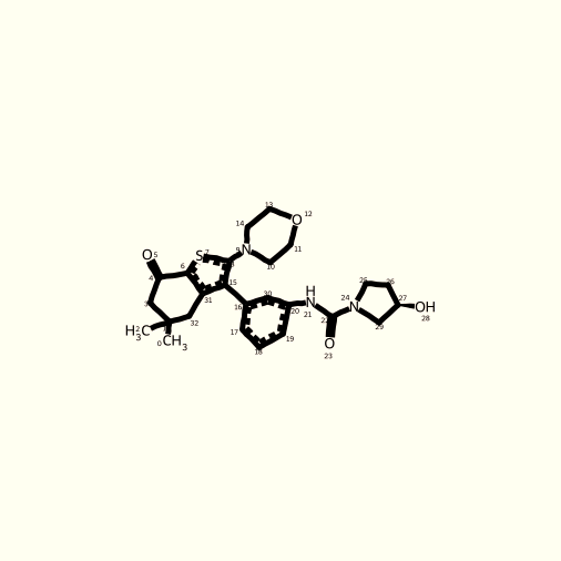 CC1(C)CC(=O)c2sc(N3CCOCC3)c(-c3cccc(NC(=O)N4CC[C@@H](O)C4)c3)c2C1